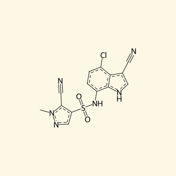 Cn1ncc(S(=O)(=O)Nc2ccc(Cl)c3c(C#N)c[nH]c23)c1C#N